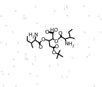 CCC(C)C(N)C(=O)OC(CC(=O)OC(C)(C)C)C(OC(=O)C(N)C(C)CC)C(=O)O